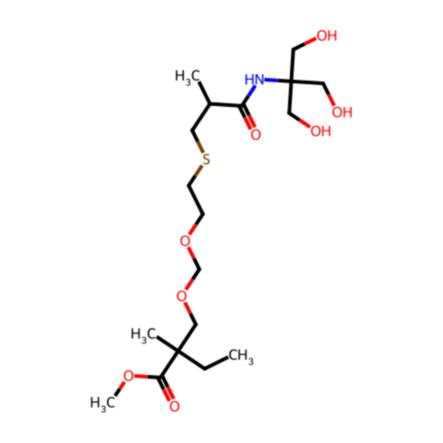 CCC(C)(COCOCCSCC(C)C(=O)NC(CO)(CO)CO)C(=O)OC